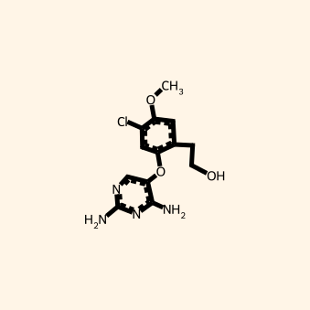 COc1cc(CCO)c(Oc2cnc(N)nc2N)cc1Cl